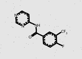 O=C(Nc1ccncn1)c1ccc(F)c(C(F)(F)F)c1